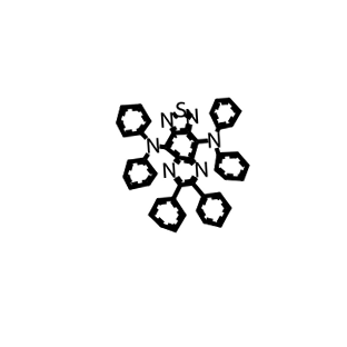 c1ccc(-c2nc3c(N(c4ccccc4)c4ccccc4)c4nsnc4c(N(c4ccccc4)c4ccccc4)c3nc2-c2ccccc2)cc1